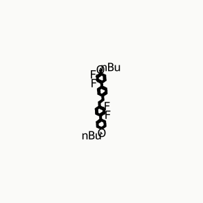 CCCCOc1ccc(-c2ccc(CCc3ccc(C4=CCC(OCCCC)CC4)c(F)c3F)cc2)c(F)c1F